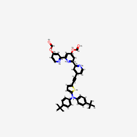 CC(C)(C)c1ccc(N(c2ccc(C(C)(C)C)cc2)c2ccc(C#Cc3ccnc(-c4cc(OC=O)cc(-c5cc(OC=O)ccn5)n4)c3)s2)cc1